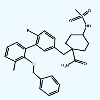 CS(=O)(=O)NC1CCC(Cc2ccc(F)c(-c3cccc(F)c3OCc3ccccc3)c2)(C(N)=O)CC1